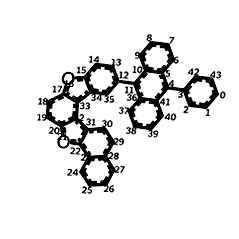 c1ccc(-c2c3ccccc3c(-c3ccc4oc5ccc6oc7c8ccccc8ccc7c6c5c4c3)c3ccccc23)cc1